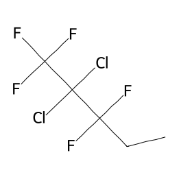 CCC(F)(F)C(Cl)(Cl)C(F)(F)F